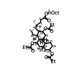 CCCCCCCCOC(=O)CC[C@@H](C)[C@H]1CC[C@H]2[C@@H]3C(OC(=O)CC)C[C@@H]4CC(OC(=O)CC)CC[C@]4(C)[C@H]3C[C@H](OC(=O)CC)[C@]12C